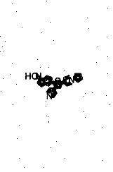 ON=C1CCc2cc(-c3oc(C4CCN(C5CCCC5)CC4)cc3-c3ccncc3)ccc21